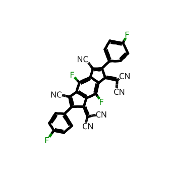 N#CC(C#N)=C1C(c2ccc(F)cc2)=C(C#N)c2c(F)c3c(c(F)c21)C(=C(C#N)C#N)C(c1ccc(F)cc1)=C3C#N